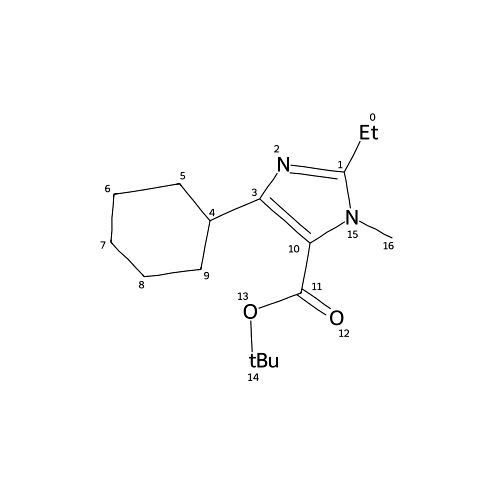 CCc1nc(C2CCCCC2)c(C(=O)OC(C)(C)C)n1C